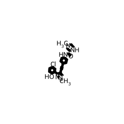 CN1CCN[C@H](C(=O)Nc2ccc(C#Cc3cn(C)nc3-c3cc(Cl)ccc3O)cc2)C1